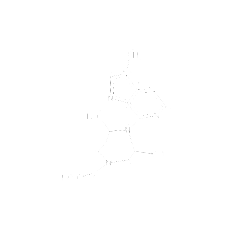 CC1CN(CC(=O)O)CC(C)N1c1ncnc2c1ncn2C